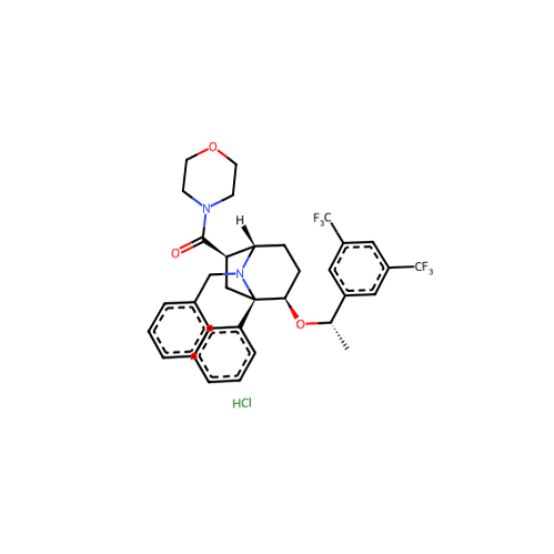 C[C@H](O[C@@H]1CC[C@H]2[C@H](C(=O)N3CCOCC3)C[C@]1(c1ccccc1)N2Cc1ccccc1)c1cc(C(F)(F)F)cc(C(F)(F)F)c1.Cl